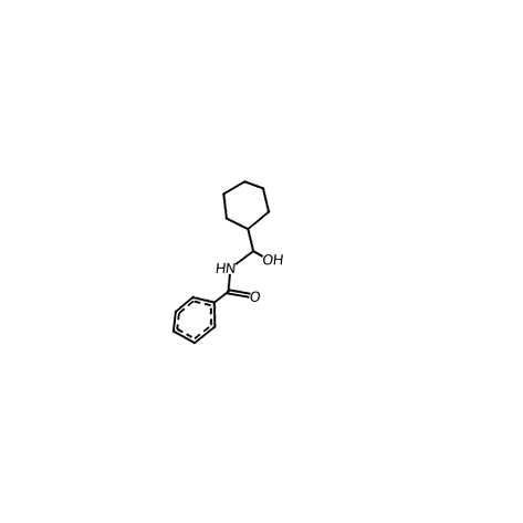 O=C(NC(O)C1CCCCC1)c1ccccc1